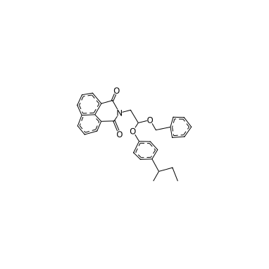 CCC(C)c1ccc(OC(CN2C(=O)c3cccc4cccc(c34)C2=O)OCc2ccccc2)cc1